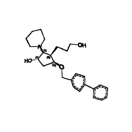 OCCC[C@@H]1[C@H](N2CCCCC2)[C@@H](O)C[C@@H]1OCc1ccc(-c2ccccc2)cc1